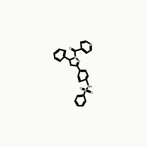 O=C(c1ccncc1)N1N=C(c2ccc(NS(=O)(=O)c3ccccc3)cc2)CC1c1ccccc1